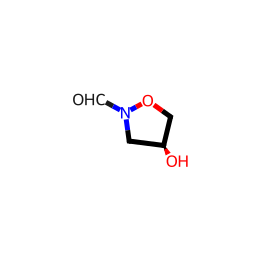 O=CN1C[C@H](O)CO1